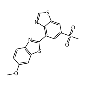 COc1ccc2nc(-c3cc(S(C)(=O)=O)cc4s[c]nc34)sc2c1